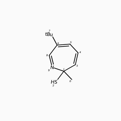 CC1(S)C=CC=C(C(C)(C)C)C=N1